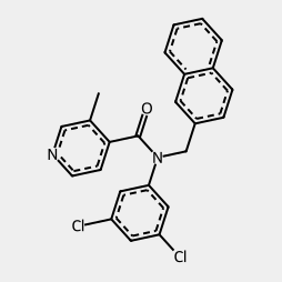 Cc1cnccc1C(=O)N(Cc1ccc2ccccc2c1)c1cc(Cl)cc(Cl)c1